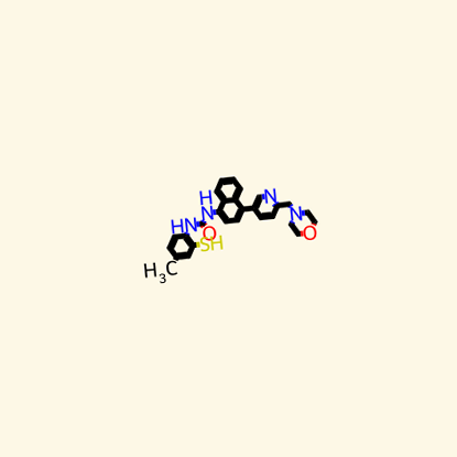 Cc1ccc(NC(=O)Nc2ccc(-c3ccc(CN4CCOCC4)nc3)c3ccccc23)c(S)c1